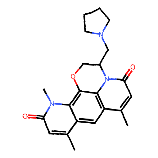 Cc1cc(=O)n(C)c2c3c4c(cc12)c(C)cc(=O)n4C(CN1CCCC1)CO3